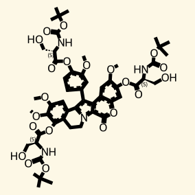 COc1cc(-c2c3n(c4c(=O)oc5cc(OC(=O)[C@H](CO)NC(=O)OC(C)(C)C)c(OC)cc5c24)CCc2c-3cc(OC)c(OC)c2OC(=O)[C@H](CO)NC(=O)OC(C)(C)C)ccc1OC(=O)[C@H](CO)NC(=O)OC(C)(C)C